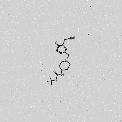 C#CCn1cc(CN2CCC(NC(=O)OC(C)(C)C)CC2)ccc1=O